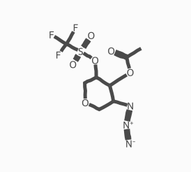 CC(=O)OC1C(N=[N+]=[N-])COCC1OS(=O)(=O)C(F)(F)F